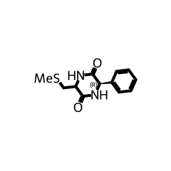 CSCC1NC(=O)[C@@H](c2ccccc2)NC1=O